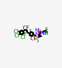 O=C(NC1(C(=O)NCC(F)F)CC1)c1ccc(/C(F)=C/C(c2cc(Cl)c(Cl)c(Cl)c2)C(F)(F)F)cc1C(F)(F)F